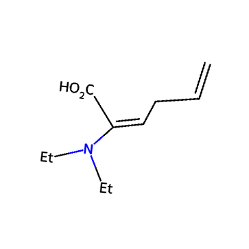 C=CC/C=C(\C(=O)O)N(CC)CC